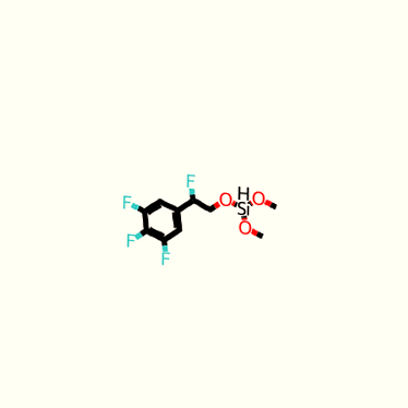 CO[SiH](OC)OCC(F)c1cc(F)c(F)c(F)c1